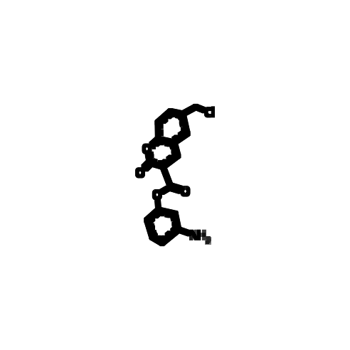 Nc1cccc(OC(=O)c2cc3cc(CCl)ccc3oc2=O)c1